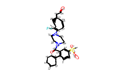 CS(=O)(=O)c1ccc(C2=CCCCC2)c(C(=O)N2CCN(c3ccc(CC=O)cc3F)CC2)c1